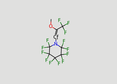 CO/[C](=[Cf]\[N]1C(F)(F)C(F)(F)C(F)(F)C(F)(F)C1(F)F)C(F)(F)F